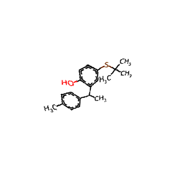 Cc1ccc(C(C)c2cc(SC(C)(C)C)ccc2O)cc1